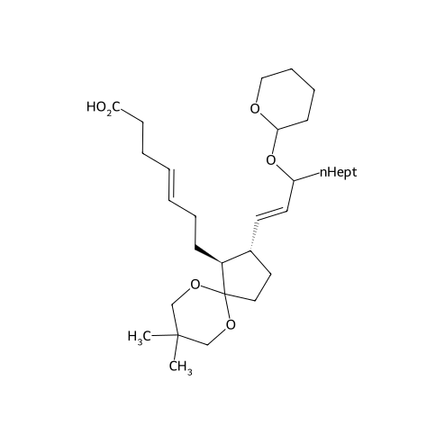 CCCCCCCC(C=C[C@@H]1CCC2(OCC(C)(C)CO2)[C@H]1CCC=CCCC(=O)O)OC1CCCCO1